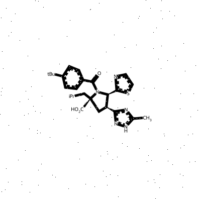 Cc1nc([C@H]2C[C@@](CC(C)C)(C(=O)O)N(C(=O)c3ccc(C(C)(C)C)cc3)[C@H]2c2nccs2)n[nH]1